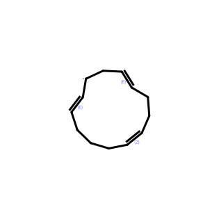 [CH]1/C=C/CCC/C=C\CC/C=C/C1